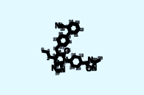 CCCc1c(Cc2ccc(-c3ccccc3C#N)cc2)c(=O)n(C2CCC(c3nc(C)no3)CC2)c2ncnn12